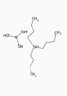 CCCC[SiH](CCCC)CCCC.OB(O)O